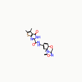 C=C1ON=C2COC3C=CC(CNC(=O)c4nc5sc(C)c(C)c5c(=O)[nH]4)=CC3(C)N12